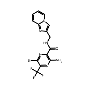 Nc1nc(C(F)(F)F)c(Br)nc1C(=O)NCc1cn2ccccc2n1